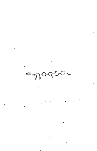 C/C=C/C1CCC(C2CC=C(c3ccc(-c4ccc(-c5ccc(OCCCCCCCC)c(F)c5F)cc4)cc3F)CC2)CC1